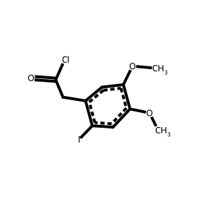 COc1cc(I)c(CC(=O)Cl)cc1OC